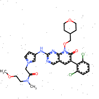 COCCN(C)C(=O)Cn1ccc(Nc2ncc3cc(-c4c(Cl)cccc4Cl)c(=O)n(OCC4CCOCC4)c3n2)c1